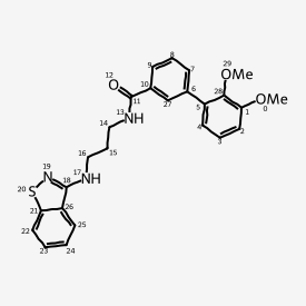 COc1cccc(-c2cccc(C(=O)NCCCNc3nsc4ccccc34)c2)c1OC